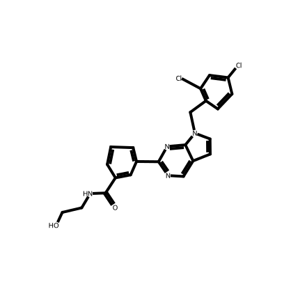 O=C(NCCO)c1cccc(-c2ncc3ccn(Cc4ccc(Cl)cc4Cl)c3n2)c1